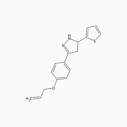 C=CCOc1ccc(C2=NNC(c3cccs3)C2)cc1